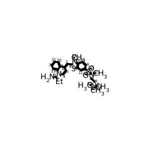 CCC(N)N1C=C/C(=C\c2sc3cc(S(=O)(=O)N(C)CC[N+](C)(C)C)ccc3[n+]2C)c2ccccc21